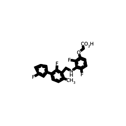 Cc1ccc(-c2cccc(F)c2)c(F)c1CNc1c(F)ccc(OCC(=O)O)c1F